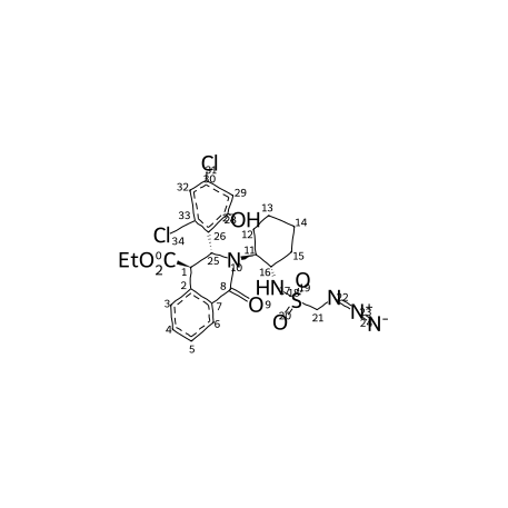 CCOC(=O)[C@@H]1c2ccccc2C(=O)N([C@H]2CCCC[C@@H]2NS(=O)(=O)CN=[N+]=[N-])[C@H]1c1c(O)cc(Cl)cc1Cl